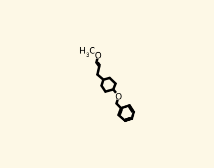 COC=CCC1CCC(OCc2ccccc2)CC1